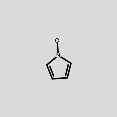 [O]n1cccc1